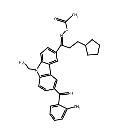 CCn1c2ccc(C(=N)c3ccccc3C)cc2c2cc(C(CCC3CCCC3)=NOC(C)=O)ccc21